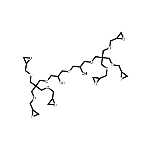 OC(COCC(O)COCC(COCC1CO1)(COCC1CO1)COCC1CO1)COCC(COCC1CO1)(COCC1CO1)COCC1CO1